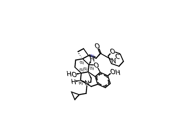 O=C(/C=C1\CC[C@]12CC[C@@]1(O)[C@H]3Cc4ccc(O)c5c4[C@@]1(CCN3CC1CC1)[C@H]2O5)N1CC2CCC1CO2